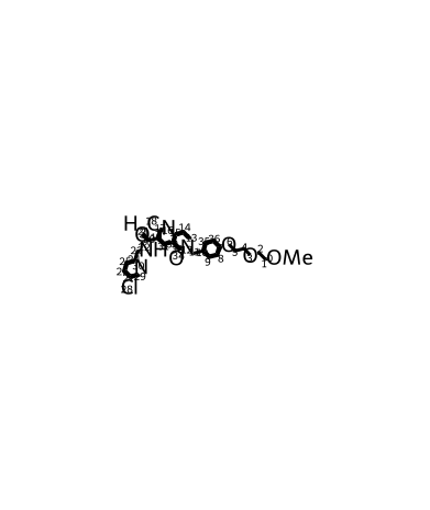 COCCOCCOc1ccc(Cn2ccc3nc(C)c(C(=O)NCc4ccc(Cl)cn4)cc3c2=O)cc1